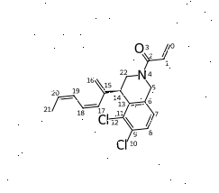 C=CC(=O)N1Cc2ccc(Cl)c(Cl)c2[C@@H](C(=C)/C=C\C=C/C)C1